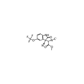 [C-]#[N+]C(C(=O)OC)C1(C#N)C(=O)Nc2ccc(OC(F)(F)F)cc21